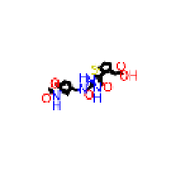 O=C(O)CC1CCc2sc3nc(C(=O)NCc4ccc5c(c4)NC(=O)CO5)[nH]c(=O)c3c21